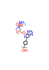 CC(C)(O)c1ccc(-c2cc3nccnc3c(OC[C@@H]3CN(S(N)(=O)=O)CCO3)n2)cc1